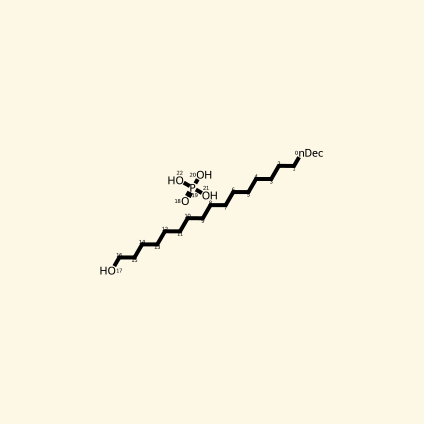 CCCCCCCCCCCCCCCCCCCCCCCCCCO.O=P(O)(O)O